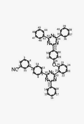 N#Cc1cccc(-c2ccc(-c3nc(-c4ccccc4)nc(-c4ccccc4Oc4ccc(-c5nc(-c6ccccc6)nc(-c6ccccc6)n5)cc4)n3)cc2)c1